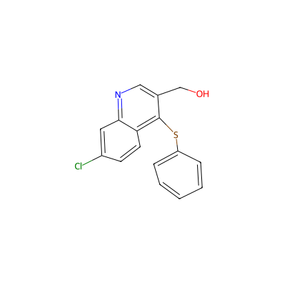 OCc1cnc2cc(Cl)ccc2c1Sc1ccccc1